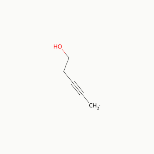 [CH2]C#CCCO